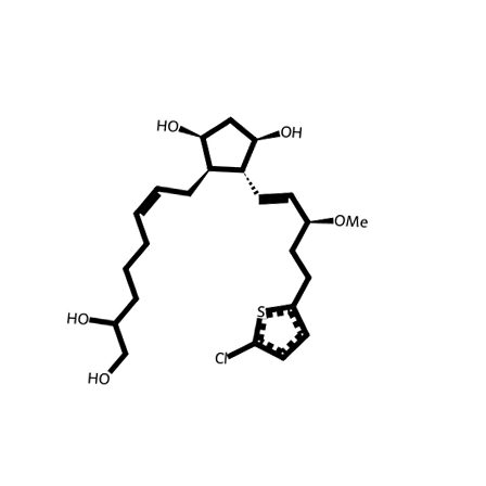 CO[C@H](C=C[C@@H]1[C@@H](C/C=C\CCCC(O)CO)[C@@H](O)C[C@H]1O)CCc1ccc(Cl)s1